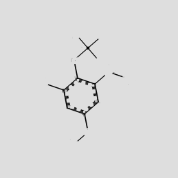 COc1cc(Cl)c(NC(C)(C)C)c(OC)c1